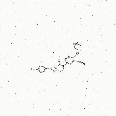 N#Cc1cc(N2CCc3nc(-c4ccc(Cl)cc4)sc3C2=O)ccc1OC1CNC1